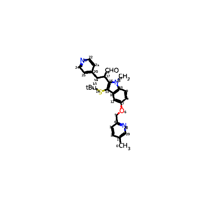 Cc1ccc(COc2ccc3c(c2)c(SC(C)(C)C)c(C(C=O)Cc2ccncc2)n3C)nc1